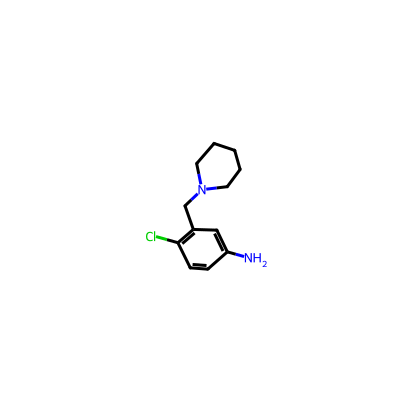 Nc1ccc(Cl)c(CN2CCCCC2)c1